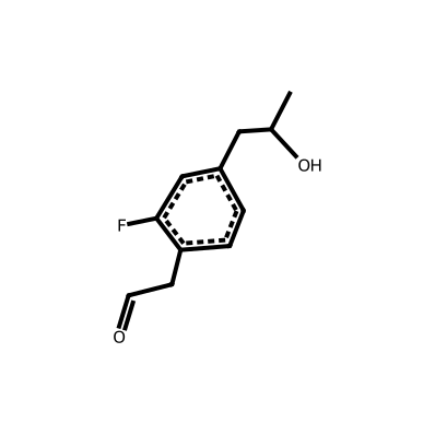 CC(O)Cc1ccc(CC=O)c(F)c1